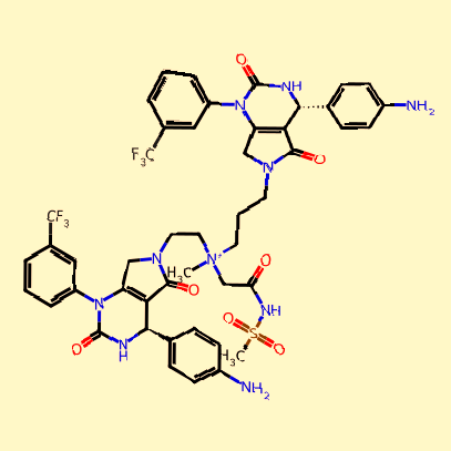 C[N+](CCCN1CC2=C(C1=O)[C@@H](c1ccc(N)cc1)NC(=O)N2c1cccc(C(F)(F)F)c1)(CCN1CC2=C(C1=O)[C@@H](c1ccc(N)cc1)NC(=O)N2c1cccc(C(F)(F)F)c1)CC(=O)NS(C)(=O)=O